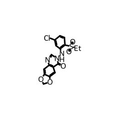 CCS(=O)(=O)c1ccc(Cl)cc1Nn1cnc2cc3c(cc2c1=O)OCO3